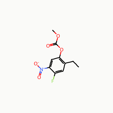 CCc1cc(F)c([N+](=O)[O-])cc1OC(=O)OC